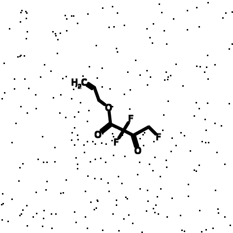 C=CCOC(=O)C(F)(F)C(=O)CF